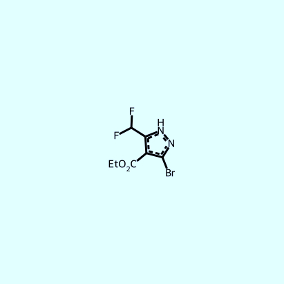 CCOC(=O)c1c(Br)n[nH]c1C(F)F